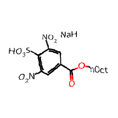 CCCCCCCCOC(=O)c1cc([N+](=O)[O-])c(S(=O)(=O)O)c([N+](=O)[O-])c1.[NaH]